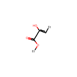 CCC=C(O)C(=O)OCC